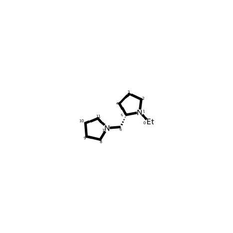 CCN1CCC[C@H]1CN1CCCC1